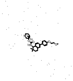 COCCOc1ccc(-c2ccc3c(c2)CCC(C)(C)C3NC(=O)O[C@H]2CN3CCC2CC3)cc1